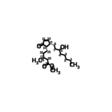 CCCCCC(O)CC[C@H]1C=CC(=O)[C@H]1CCC(C)CC(=O)OC